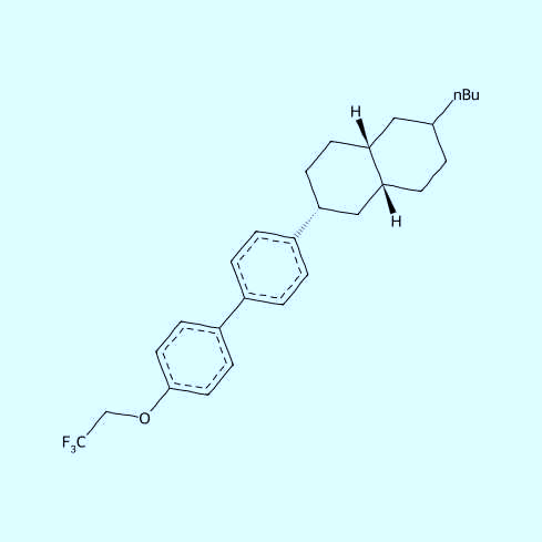 CCCCC1CC[C@@H]2C[C@H](c3ccc(-c4ccc(OCC(F)(F)F)cc4)cc3)CC[C@@H]2C1